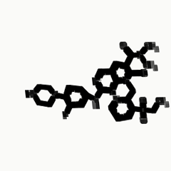 CN(C)C(=O)c1cc2cnc(Nc3ccc(N4CCNCC4)c(F)c3)nc2n(Cc2ncccc2S(=O)(=O)CC(F)(F)F)c1=O